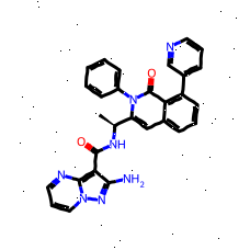 C[C@H](NC(=O)c1c(N)nn2cccnc12)c1cc2cccc(-c3cccnc3)c2c(=O)n1-c1ccccc1